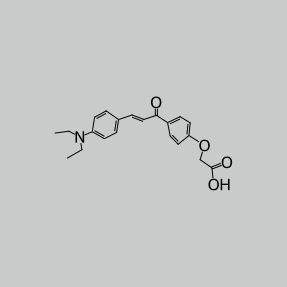 CCN(CC)c1ccc(/C=C/C(=O)c2ccc(OCC(=O)O)cc2)cc1